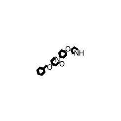 O=c1cc(OCc2ccccc2)ccn1-c1ccc(OC2CCNC2)cc1